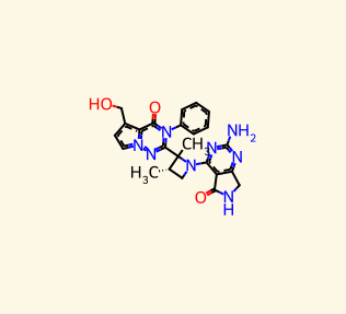 C[C@H]1CN(c2nc(N)nc3c2C(=O)NC3)C1(C)c1nn2ccc(CO)c2c(=O)n1-c1ccccc1